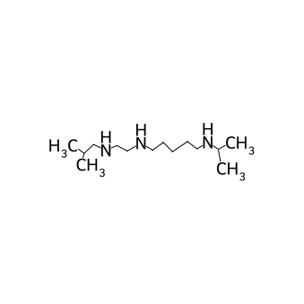 CC(C)CNCCNCCCCCNC(C)C